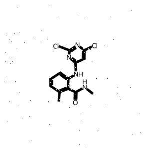 CNC(=O)c1c(C)cccc1Nc1cc(Cl)nc(Cl)n1